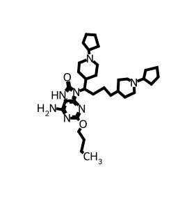 CCCCOc1nc(N)c2[nH]c(=O)n(C(CCCC3CCN(C4CCCC4)CC3)C3CCN(C4CCCC4)CC3)c2n1